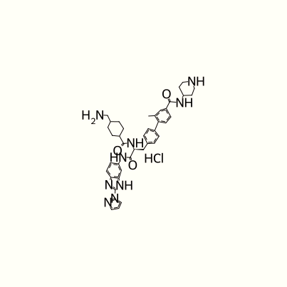 Cc1cc(C(=O)NC2CCNCC2)ccc1-c1ccc(C[C@H](NC(=O)C2CCC(CN)CC2)C(=O)Nc2ccc3nc(-n4cccn4)[nH]c3c2)cc1.Cl